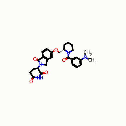 CN(C)c1cccc(C(=O)N2CCCC[C@H]2COc2ccc3c(c2)CN(C2CCC(=O)NC2=O)C3=O)c1